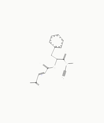 CN(C#N)C(=O)C(Cc1ccccc1)NC(=O)/C=C/C(=O)O